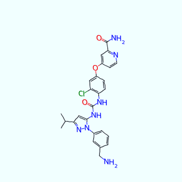 CC(C)c1cc(NC(=O)Nc2ccc(Oc3ccnc(C(N)=O)c3)cc2Cl)n(-c2cccc(CN)c2)n1